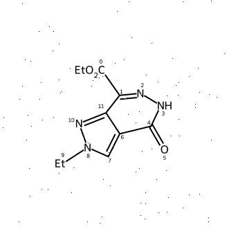 CCOC(=O)c1n[nH]c(=O)c2cn(CC)nc12